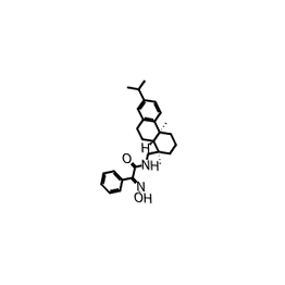 CC(C)c1ccc2c(c1)CC[C@H]1[C@](C)(CNC(=O)C(=NO)c3ccccc3)CCC[C@]21C